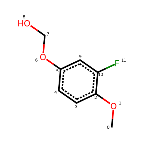 COc1ccc(OCO)cc1F